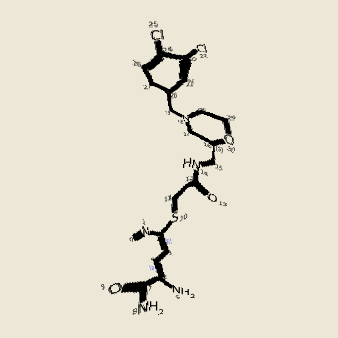 C=N/C(=C\C=C(/N)C(N)=O)SCC(=O)NC[C@H]1CN(CC2C=C(Cl)C(Cl)=CC2)CCO1